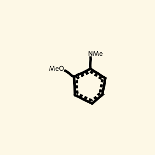 CNc1c[c]ccc1OC